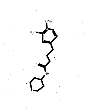 COc1ccc(CCCC(=O)NC2CCCCC2)cc1C